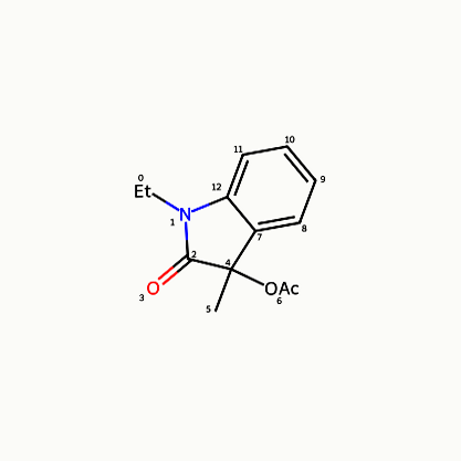 CCN1C(=O)C(C)(OC(C)=O)c2ccccc21